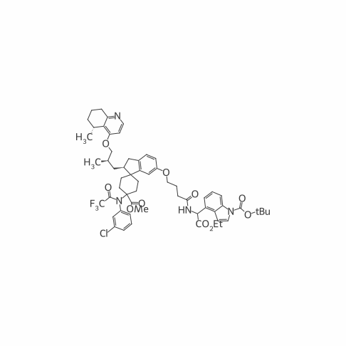 CCOC(=O)C(NC(=O)CCCOc1ccc2c(c1)C1(CCC(C(=O)OC)(N(C(=O)C(F)(F)F)c3cccc(Cl)c3)CC1)[C@@H](C[C@@H](C)COc1ccnc3c1[C@H](C)CCC3)C2)c1cccc2c1ccn2C(=O)OC(C)(C)C